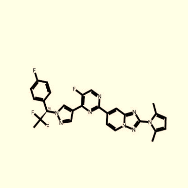 Cc1ccc(C)n1-c1nc2cc(-c3ncc(F)c(-c4cnn([C@H](c5ccc(F)cc5)C(C)(F)F)c4)n3)ccn2n1